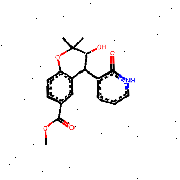 COC(=O)c1ccc2c(c1)C(c1ccc[nH]c1=O)C(O)C(C)(C)O2